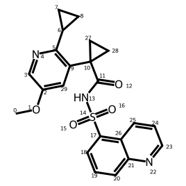 COc1cnc(C2CC2)c(C2(C(=O)NS(=O)(=O)c3cccc4ncccc34)CC2)c1